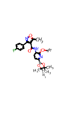 Cc1onc(-c2ccc(F)cc2)c1C(=O)Nc1ccc(B2OC(C)(C)C(C)(C)O2)nc1OC(C)C